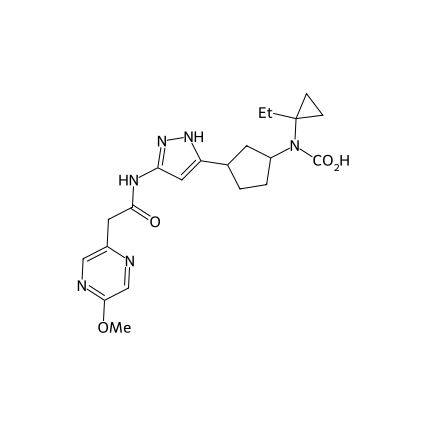 CCC1(N(C(=O)O)C2CCC(c3cc(NC(=O)Cc4cnc(OC)cn4)n[nH]3)C2)CC1